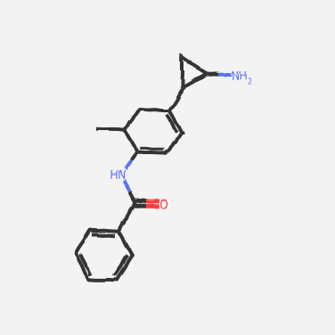 CC1CC(C2CC2N)=CC=C1NC(=O)c1ccccc1